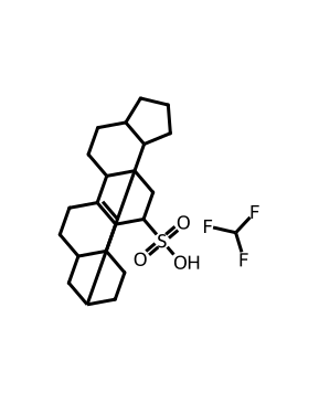 FC(F)F.O=S(=O)(O)C1CC23C4CCC5C1=C(CCC5C4)C2CCC1CCCC13